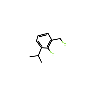 CC(C)c1cccc(CF)c1F